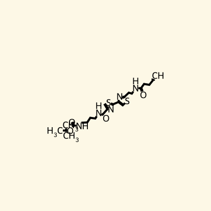 C#CCCC(=O)NCCc1nc(-c2nc(C(=O)NCCCCNC(=O)OC(C)(C)C)cs2)cs1